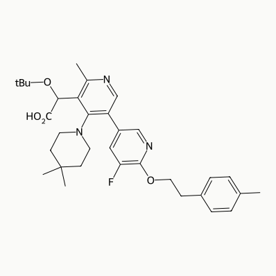 Cc1ccc(CCOc2ncc(-c3cnc(C)c(C(OC(C)(C)C)C(=O)O)c3N3CCC(C)(C)CC3)cc2F)cc1